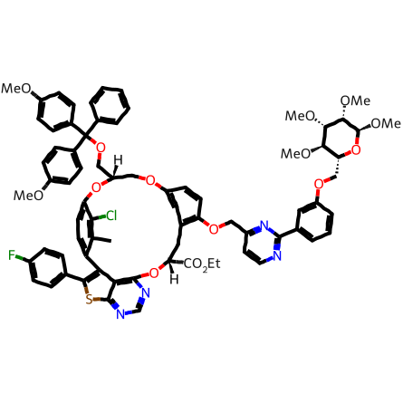 CCOC(=O)[C@H]1Cc2cc(ccc2OCc2ccnc(-c3cccc(OC[C@H]4O[C@H](OC)[C@@H](OC)[C@@H](OC)[C@@H]4OC)c3)n2)OC[C@@H](COC(c2ccccc2)(c2ccc(OC)cc2)c2ccc(OC)cc2)Oc2ccc(c(C)c2Cl)-c2c(-c3ccc(F)cc3)sc3ncnc(c23)O1